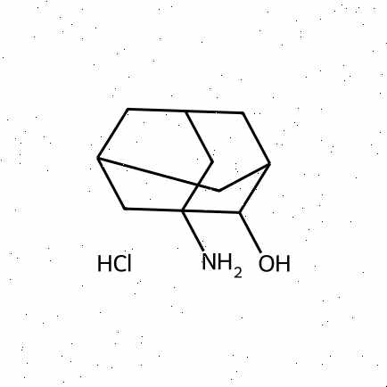 Cl.NC12CC3CC(CC(C3)C1O)C2